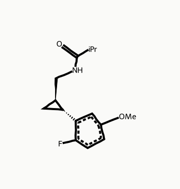 COc1ccc(F)c([C@@H]2C[C@H]2CNC(=O)C(C)C)c1